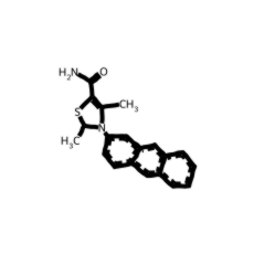 CC1=C(C(N)=O)SC(C)N1c1ccc2cc3ccccc3cc2c1